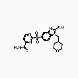 CC(C)(C)c1nc2cc(S(=O)(=O)c3nccc(C(N)=O)n3)ccc2n1CC1CCOCC1